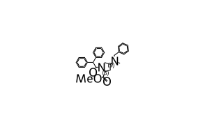 COC(=O)[C@@H]1C[C@H](N(C)Cc2ccccc2)CN1C(=O)C(c1ccccc1)c1ccccc1